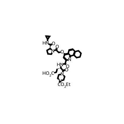 CCOC(=O)N1CCN(C(=O)[C@H](CCC(=O)O)NC(=O)c2cc(OCC(=O)N3CCC[C@H]3C(=O)NC3CC3)c3ccc4c(c3n2)CCCC4)CC1